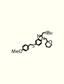 COc1ccc(CSc2ccc3c(c2)nc(CC(C)(C)C)n3CC2CCCCO2)cc1